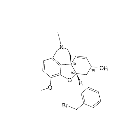 BrCc1ccccc1.COc1ccc2c3c1O[C@H]1C[C@@H](O)C=C[C@@]31CCN(C)C2